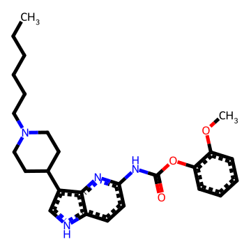 CCCCCCN1CCC(c2c[nH]c3ccc(NC(=O)Oc4ccccc4OC)nc23)CC1